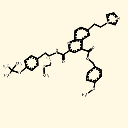 COC[C@H](Cc1ccc(OC(C)(C)C)cc1)NC(=O)c1cc(C(=O)OCc2ccc(OC)cc2)c2cc(CCn3ccnc3)ccc2n1